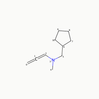 C=C=CN(C)CC1CCCC1